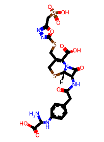 NC(Nc1ccc(CC(=O)NC2C(=O)N3C(C(=O)O)=C(CSc4nnc(CS(=O)(=O)O)o4)CS[C@@H]23)cc1)C(=O)O